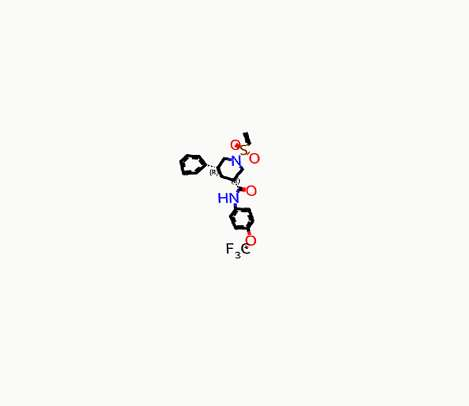 C=CS(=O)(=O)N1C[C@H](C(=O)Nc2ccc(OC(F)(F)F)cc2)C[C@H](c2ccccc2)C1